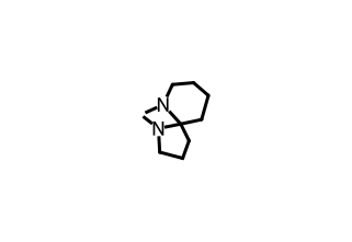 CN1CCCCC12CCCN2C